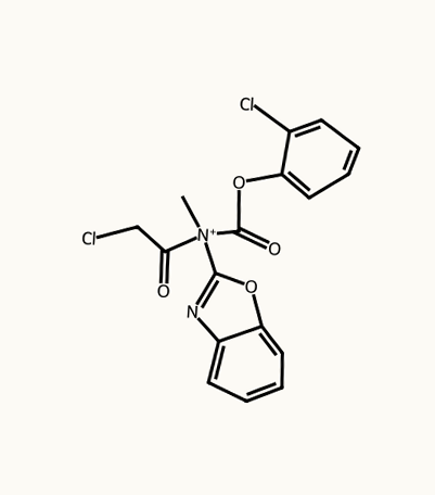 C[N+](C(=O)CCl)(C(=O)Oc1ccccc1Cl)c1nc2ccccc2o1